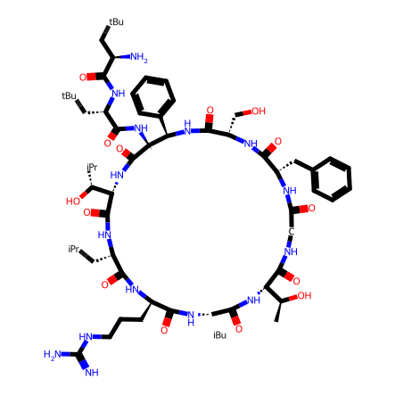 CC[C@H](C)[C@@H]1NC(=O)[C@@H](CCCNC(=N)N)NC(=O)[C@H](CC(C)C)NC(=O)[C@H]([C@H](O)C(C)C)NC(=O)[C@@H](NC(=O)[C@H](CC(C)(C)C)NC(=O)[C@H](N)CC(C)(C)C)[C@@H](c2ccccc2)NC(=O)[C@H](CO)NC(=O)[C@H](Cc2ccccc2)NC(=O)CNC(=O)[C@H]([C@H](C)O)NC1=O